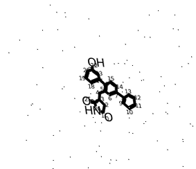 O=C1CC(Cc2cc(-c3ccccc3)ccc2-c2cccc(O)c2)C(=O)N1